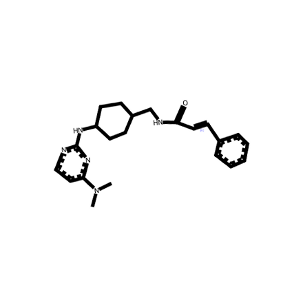 CN(C)c1ccnc(NC2CCC(CNC(=O)/C=C/c3ccccc3)CC2)n1